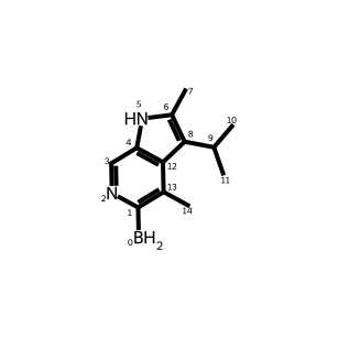 Bc1ncc2[nH]c(C)c(C(C)C)c2c1C